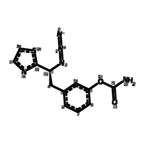 [N-]=[N+]=N[C@@H](Cc1cccc(OC(N)=O)c1)c1nccs1